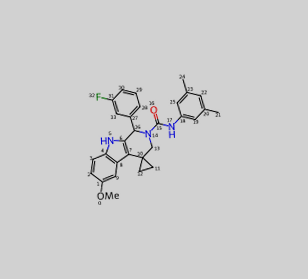 COc1ccc2[nH]c3c(c2c1)C1(CC1)CN(C(=O)Nc1cc(C)cc(C)c1)C3c1cccc(F)c1